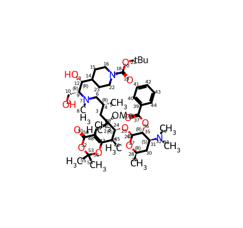 CO[C@](C)(C[C@@H](C)CN(C)[C@H](CO)[C@H](O)C1CCN(C(=O)OC(C)(C)C)CC1)[C@H](O[C@@H]1O[C@H](C)C[C@H](N(C)C)[C@H]1OC(=O)c1ccccc1)[C@@H](C)C1=C(C)C(=O)OC(C)(C)O1